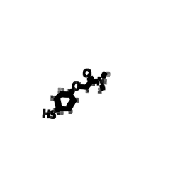 CN(C)C(=O)COc1ccc(S)cc1